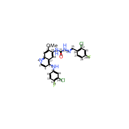 COc1cc2nccc(Nc3ccc(F)c(Cl)c3)c2cc1NC(=O)N/N=C/c1ccc(F)cc1Cl